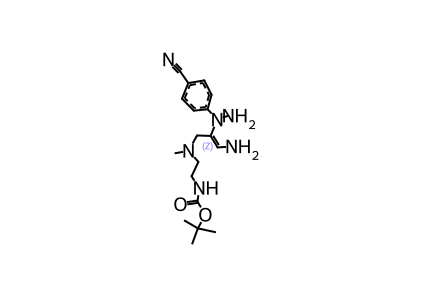 CN(CCNC(=O)OC(C)(C)C)C/C(=C/N)N(N)c1ccc(C#N)cc1